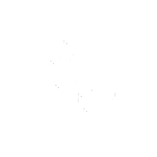 O=C(O)C[C@@H](Cc1ccccc1)NC(=O)C(Cc1cccnc1)NC(=O)[C@@H]1CCC2CCC(NC(=O)Cc3ccccc3)C(=O)N21